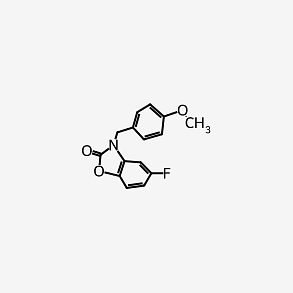 COc1ccc(Cn2c(=O)oc3ccc(F)cc32)cc1